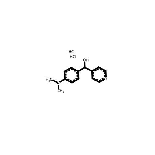 CN(C)c1ccc(C(O)c2ccncc2)cc1.Cl.Cl